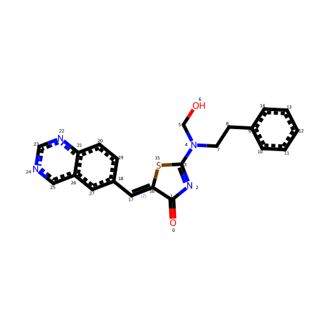 O=C1N=C(N(CO)CCc2ccccc2)S/C1=C\c1ccc2ncncc2c1